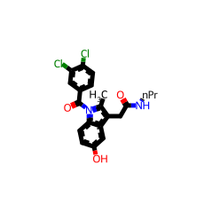 CCCNC(=O)Cc1c(C)n(C(=O)c2ccc(Cl)c(Cl)c2)c2ccc(O)cc12